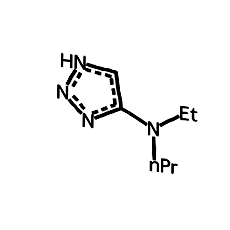 CCCN(CC)c1c[nH]nn1